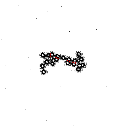 c1ccc(-c2ccc(-c3c(N(c4ccc(-c5ccc(-c6ccc(-c7ccc(-c8ccccc8-c8c(N(c9ccc(-c%10cccc(-c%11ccccc%11)c%10)cc9)c9cccc%10c9sc9ccccc9%10)c9ccccc9c9ccccc89)cc7)cc6)cc5)cc4)c4cccc5c4sc4ccccc45)c4ccccc4c4ccccc34)cc2)cc1